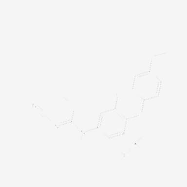 COc1ccc(Sc2c(Cl)cc(N/C(=N/C#N)SC)cc2C(F)(F)F)cc1